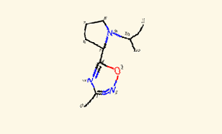 Cc1noc(C2CCCN2C(C)C)n1